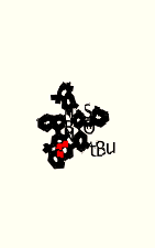 Cc1cc2c(cc1N1c3cc4c(cc3B3c5c1cc1ccccc1c5-c1cc5c(cc1N3c1ccc(C(C)(C)C)cc1-c1ccccc1)-c1ccccc1C5(C)C)Oc1ccccc1S4)C(C)(C)CCC2(C)C